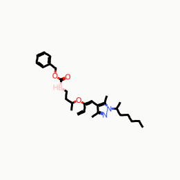 C=C/C(=C\c1c(C)nn(C(C)CCCCC)c1C)OC(C)CCBC(=O)OCc1ccccc1